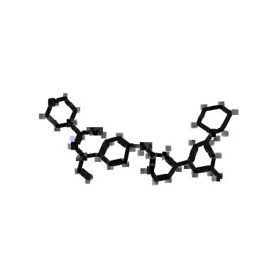 C=CN(/N=C(\N)N1CCOCC1)c1ccc(Nc2nccc(-c3cc(F)cc(N4CCCCC4)c3)n2)cc1